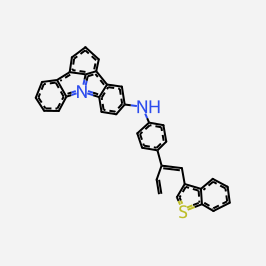 C=C/C(=C\c1csc2ccccc12)c1ccc(Nc2ccc3c(c2)c2cccc4c5ccccc5n3c42)cc1